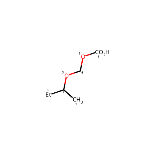 CCC(C)OCOC(=O)O